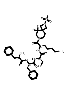 CC(C)C[C@@H](NC(=O)[C@@H](Cc1ccccc1)NC(=O)[C@H](N)Cc1ccccc1)C(=O)N[C@H](CCCCN)C(=O)N1CCC2(CN(S(C)(=O)=O)C2)C(F)(F)C1